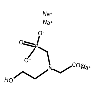 O=C([O-])CN(CCO)CP(=O)([O-])[O-].[Na+].[Na+].[Na+]